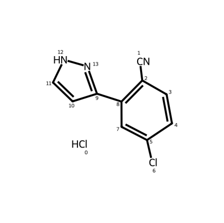 Cl.N#Cc1ccc(Cl)cc1-c1cc[nH]n1